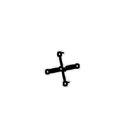 [O]=[Os](=[O])([O-])[O-]